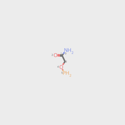 NC(=O)COP